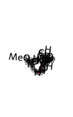 C=CC1C[C@]1(NC(=O)[C@@H]1C[C@@H]2CN1C(=O)[C@H](C1CCCC1)NC(=O)O[C@@H]1CCC[C@H]1CCCCCc1nc3ccc(OC)cc3cc1O2)C(=O)NS(=O)(=O)C1CC1